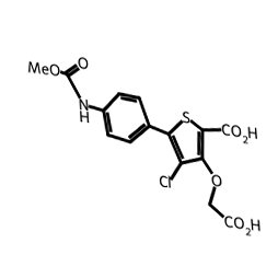 COC(=O)Nc1ccc(-c2sc(C(=O)O)c(OCC(=O)O)c2Cl)cc1